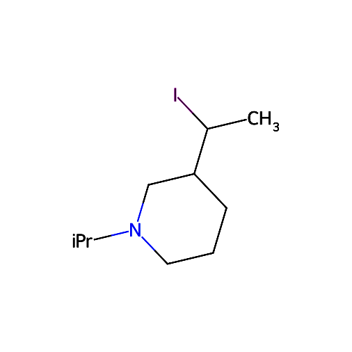 CC(I)C1CCCN(C(C)C)C1